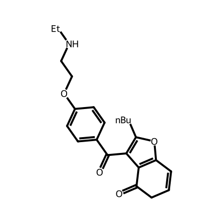 CCCCc1oc2c(c1C(=O)c1ccc(OCCNCC)cc1)C(=O)CC=C2